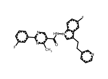 Cc1nc(-c2cccc(F)c2)ncc1C(=O)Nn1cc(CCc2cccnc2)c2cc(F)ccc21